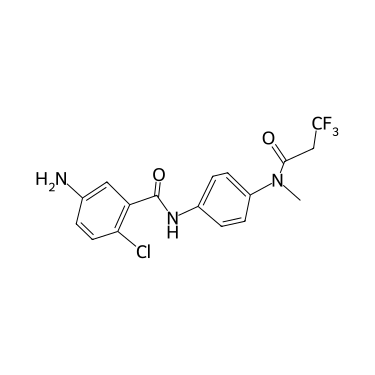 CN(C(=O)CC(F)(F)F)c1ccc(NC(=O)c2cc(N)ccc2Cl)cc1